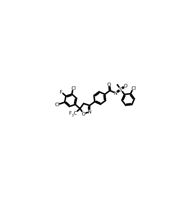 CS(=O)(=NC(=O)c1ccc(C2=NOC(c3cc(Cl)c(F)c(Cl)c3)(C(F)(F)F)C2)cc1)c1ccccc1Cl